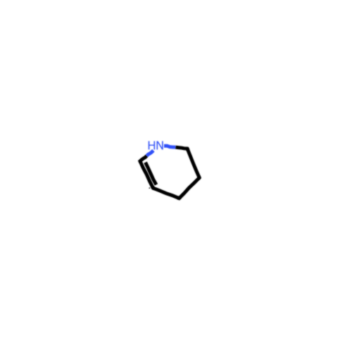 [C]1=CNCCC1